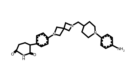 Nc1ccc(N2CCC(CN3CC4(C3)CN(c3ccc(C5CCC(=O)NC5=O)cc3)C4)CC2)cc1